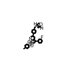 Cc1ccc(S(=O)(=O)n2cc(-c3cccc(F)c3)c3cc(-c4ccc(CN5C[C@@H]6C[C@H]5CO6)cc4)cnc32)cc1